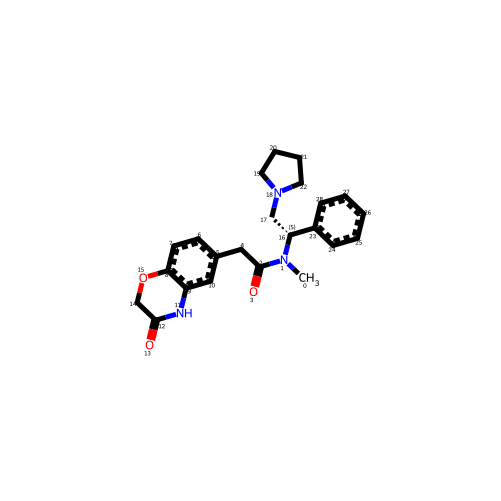 CN(C(=O)Cc1ccc2c(c1)NC(=O)CO2)[C@H](CN1CCCC1)c1ccccc1